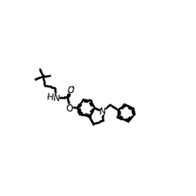 CC(C)(C)CCNC(=O)Oc1ccc2c(c1)CCN2Cc1ccccc1